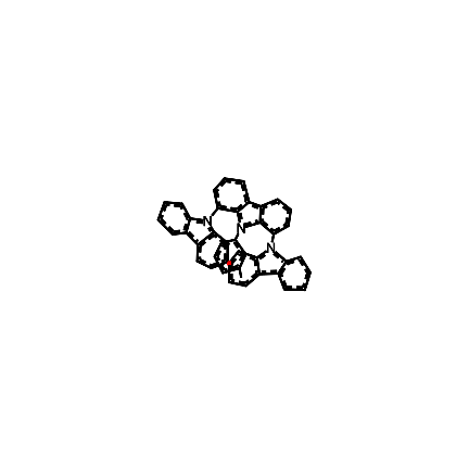 Cc1cccc(-n2c3c(-n4c5ccccc5c5ccccc54)cccc3c3cccc(-n4c5ccccc5c5ccccc54)c32)c1